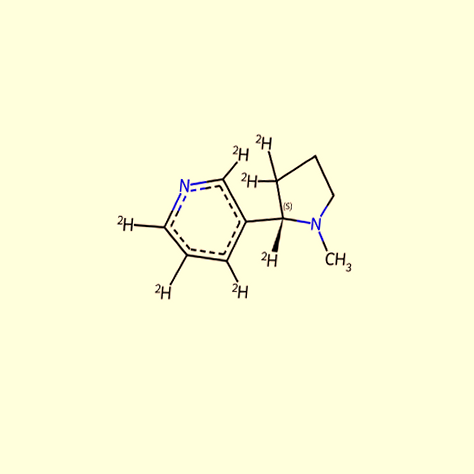 [2H]c1nc([2H])c([C@@]2([2H])N(C)CCC2([2H])[2H])c([2H])c1[2H]